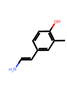 Cc1cc(/C=C/N)ccc1O